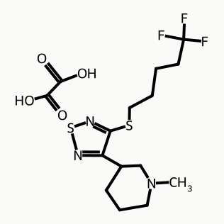 CN1CCCC(c2nsnc2SCCCCC(F)(F)F)C1.O=C(O)C(=O)O